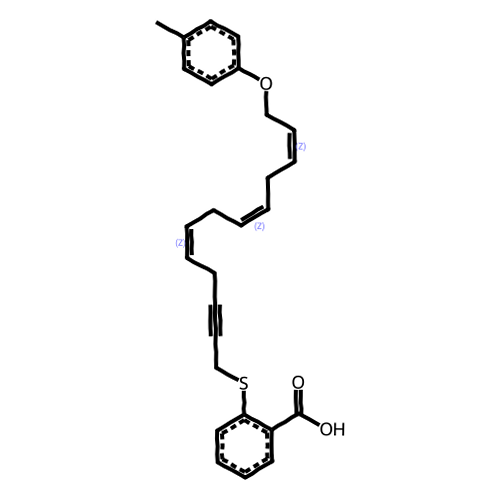 Cc1ccc(OC/C=C\C/C=C\C/C=C\CC#CCSc2ccccc2C(=O)O)cc1